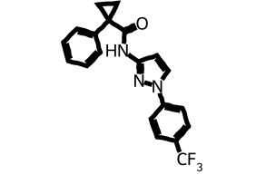 O=C(Nc1ccn(-c2ccc(C(F)(F)F)cc2)n1)C1(c2ccccc2)CC1